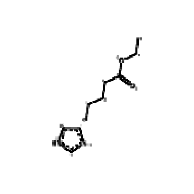 CCCCC(=O)OCC.c1c[nH]cn1